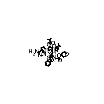 CC(C)C(=O)O[C@H]1[C@H](c2ccc3c(N)ncnn23)O[C@](C#N)(COP(=O)(N[C@@H](C)C(=O)OC2CCOCC2)Oc2ccccc2)[C@H]1OC(=O)C(C)C